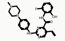 C=Cc1cnc(Nc2ccc(N3CCN(C)CC3)cc2)nc1C(=O)Nc1c(O)cccc1F